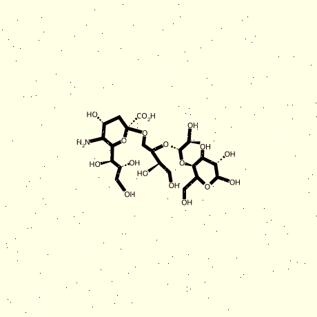 C[C@H](O)[C@@H](OC(CO[C@]1(C(=O)O)C[C@@H](O)C(N)C([C@H](O)[C@H](O)CO)O1)[C@H](O)CO)O[C@@H]1C(CO)OC(O)[C@@H](O)C1O